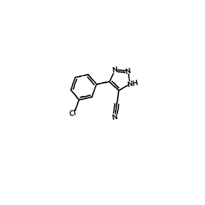 N#Cc1[nH]nnc1-c1cccc(Cl)c1